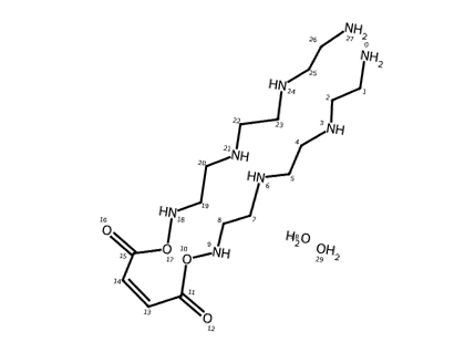 NCCNCCNCCNOC(=O)/C=C\C(=O)ONCCNCCNCCN.O.O